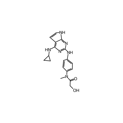 CN(C(=O)CO)c1ccc(Nc2nc(NC3CC3)c3cc[nH]c3n2)cc1